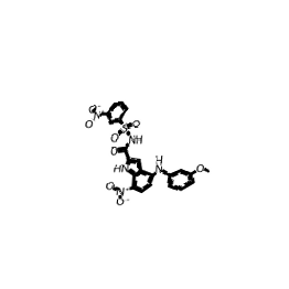 COc1cccc(Nc2ccc([N+](=O)[O-])c3[nH]c(C(=O)NS(=O)(=O)c4cccc([N+](=O)[O-])c4)cc23)c1